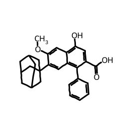 COc1cc2c(O)cc(C(=O)O)c(-c3ccccc3)c2cc1C12CC3CC(CC(C3)C1)C2